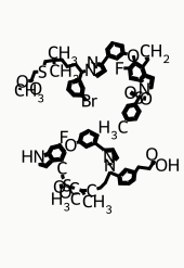 C=Cc1c(Oc2cccc(-c3ccn(C(CCCC(C)(C)CSCC(=O)OC)c4cccc(Br)c4)n3)c2)c(F)cc2c1ccn2S(=O)(=O)c1ccc(C)cc1.CC1(C)CCCC(c2cccc(CCC(=O)O)c2)n2ccc(n2)-c2cccc(c2)Oc2c(F)cc3[nH]ccc3c2CCS(=O)(=O)C1